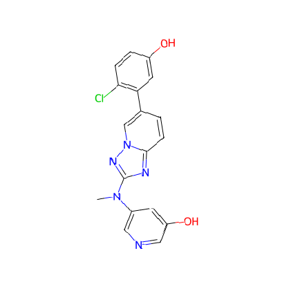 CN(c1cncc(O)c1)c1nc2ccc(-c3cc(O)ccc3Cl)cn2n1